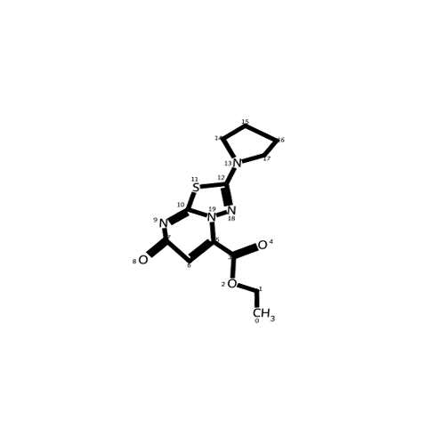 CCOC(=O)c1cc(=O)nc2sc(N3CCCC3)nn12